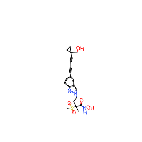 CC(CCn1cc2cc(C#CC#CC3(CO)CC3)ccc2n1)(C(=O)NO)S(C)(=O)=O